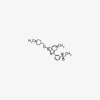 CCS(=O)(=O)c1cccc(C2=C3CN(C)C=CC34CCC(OCC3CCN(C)CC3)=NC4=N2)c1